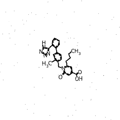 CCCCc1cc(C(=O)O)cc(=O)n1Cc1ccc(-c2ccccc2-c2nnn[nH]2)cc1C